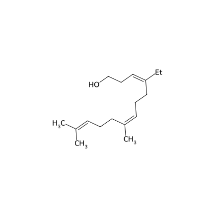 CCC(=CCCO)CCC=C(C)CCC=C(C)C